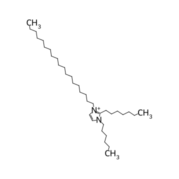 CCCCCCCCCCCCCCCCCCC[n+]1ccn(CCCCCC)c1CCCCCCC